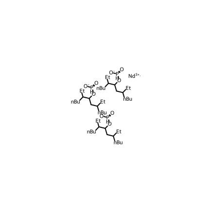 CCCCC(CC)CC(O[PH](=O)[O-])C(CC)CCCC.CCCCC(CC)CC(O[PH](=O)[O-])C(CC)CCCC.CCCCC(CC)CC(O[PH](=O)[O-])C(CC)CCCC.[Nd+3]